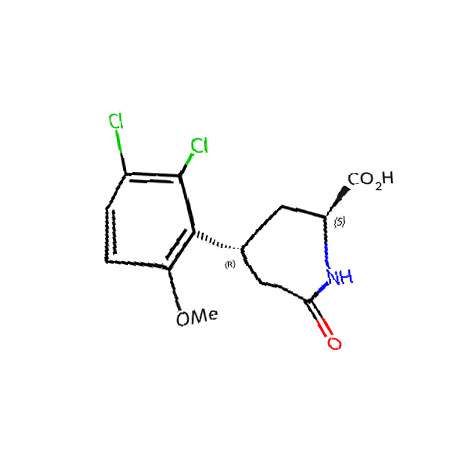 COc1ccc(Cl)c(Cl)c1[C@H]1CC(=O)N[C@H](C(=O)O)C1